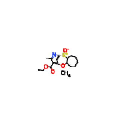 C.CCOC(=O)c1c2cc(nc1C)[S+]([O-])C1CCCCCC1O2